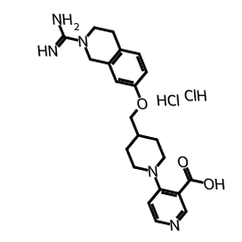 Cl.Cl.N=C(N)N1CCc2ccc(OCC3CCN(c4ccncc4C(=O)O)CC3)cc2C1